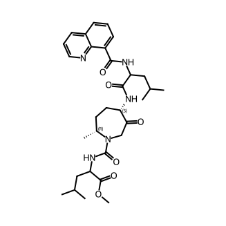 COC(=O)C(CC(C)C)NC(=O)N1CC(=O)[C@@H](NC(=O)C(CC(C)C)NC(=O)c2cccc3cccnc23)CC[C@H]1C